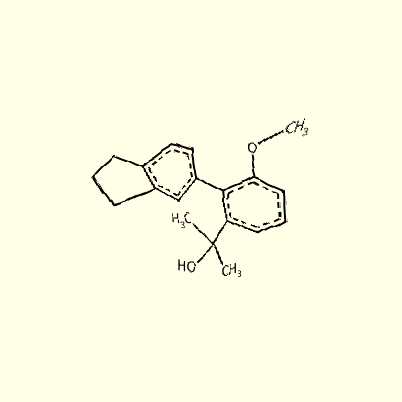 COc1cccc(C(C)(C)O)c1-c1ccc2c(c1)CCC2